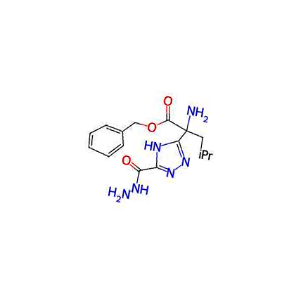 CC(C)CC(N)(C(=O)OCc1ccccc1)c1nnc(C(=O)NN)[nH]1